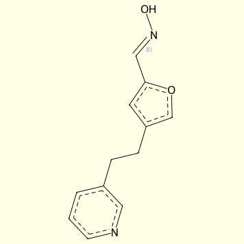 O/N=C/c1cc(CCc2cccnc2)co1